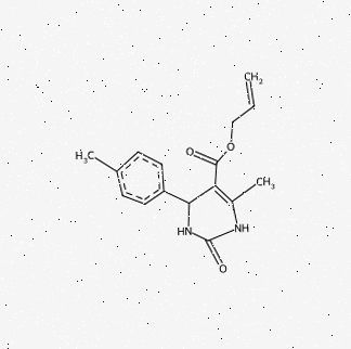 C=CCOC(=O)C1=C(C)NC(=O)NC1c1ccc(C)cc1